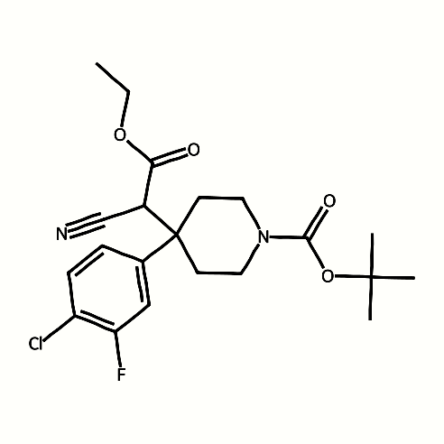 CCOC(=O)C(C#N)C1(c2ccc(Cl)c(F)c2)CCN(C(=O)OC(C)(C)C)CC1